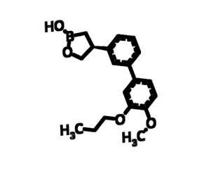 CCCOc1cc(-c2cccc([C@H]3COB(O)C3)c2)ccc1OC